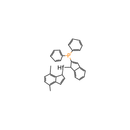 Cc1ccc(C)c2c1C=C[CH]2[Hf][CH]1C(P(c2ccccc2)c2ccccc2)=Cc2ccccc21